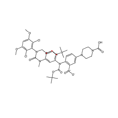 COc1cc(OC)c(Cl)c(N(COCC[Si](C)(C)C)C(=O)N(C)c2cc(N(C(=O)OC(C)(C)C)c3ccc(N4CCN(C(=O)O)CC4)cc3[N+](=O)[O-])ncn2)c1Cl